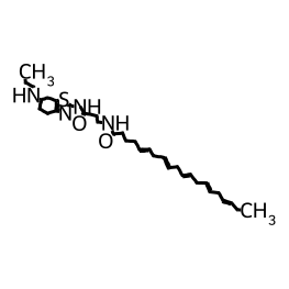 CCC=CCC=CCC=CCC=CCC=CCCCC(=O)NCCC(=O)Nc1nc2c(s1)C[C@H](NCCC)CC2